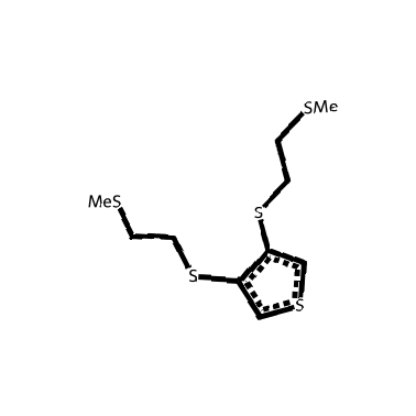 CSCCSc1cscc1SCCSC